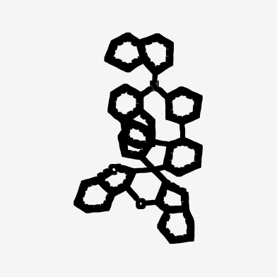 c1cc(-c2cccc3c2-c2ccccc2C32c3ccc4ccccc4c3Oc3c2ccc2ccccc32)cc(N(c2cccc3ccccc23)c2cccc3ccccc23)c1